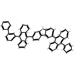 c1ccc(-c2cccc(-c3c4ccccc4c(-c4ccc5c(c4)oc4ccc(-c6c7ccccc7c(-c7ccccc7)c7ccccc67)cc45)c4ccccc34)c2)cc1